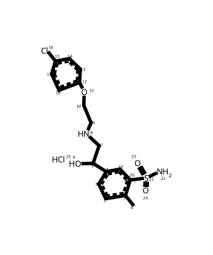 Cc1ccc(C(O)CNCCOc2ccc(Cl)cc2)cc1S(N)(=O)=O.Cl